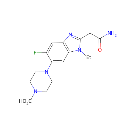 CCn1c(CC(N)=O)nc2cc(F)c(N3CCN(C(=O)O)CC3)cc21